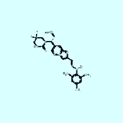 COC[C@H](c1cnn2cc(/C=N/[S@@+]([O-])c3c(C)cc(C)cc3C)nc2c1)N1CC(F)(F)CNC1=O